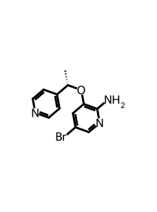 C[C@H](Oc1cc(Br)cnc1N)c1ccncc1